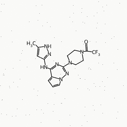 Cc1cc(Nc2nc(N3CCN(C(=O)C(F)(F)F)CC3)nn3cccc23)n[nH]1